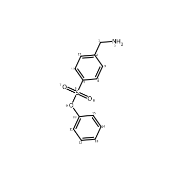 NCc1c[c]c(S(=O)(=O)Oc2ccccc2)cc1